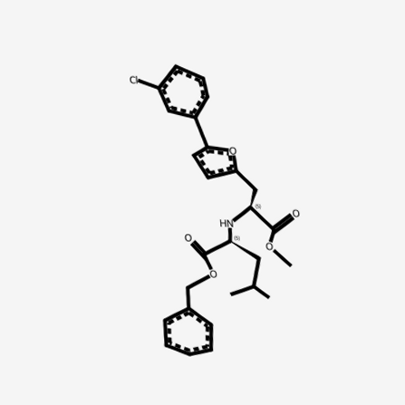 COC(=O)[C@H](Cc1ccc(-c2cccc(Cl)c2)o1)N[C@@H](CC(C)C)C(=O)OCc1ccccc1